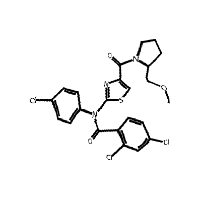 COCC1CCCN1C(=O)c1csc(N(C(=O)c2ccc(Cl)cc2Cl)c2ccc(Cl)cc2)n1